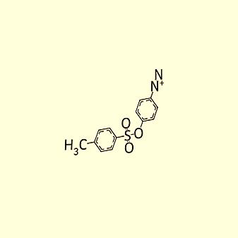 Cc1ccc(S(=O)(=O)Oc2ccc([N+]#N)cc2)cc1